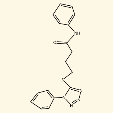 O=C(CCCSc1nnnn1-c1ccccc1)Nc1ccccc1